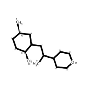 CC(CC1C[C@H](C)CC[C@@H]1O)C1CCOCC1